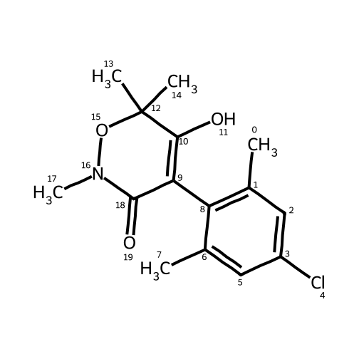 Cc1cc(Cl)cc(C)c1C1=C(O)C(C)(C)ON(C)C1=O